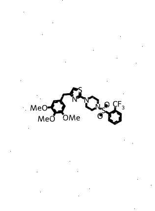 COc1cc(Cc2csc(N3CCN(S(=O)(=O)c4ccccc4C(F)(F)F)CC3)n2)cc(OC)c1OC